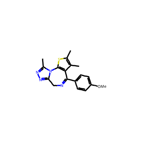 COc1ccc(C2=NCc3nnc(C)n3-c3sc(C)c(C)c32)cc1